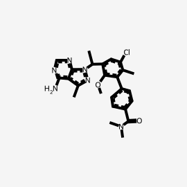 COc1c(C(C)n2nc(C)c3c(N)ncnc32)cc(Cl)c(C)c1-c1ccc(C(=O)N(C)C)cc1